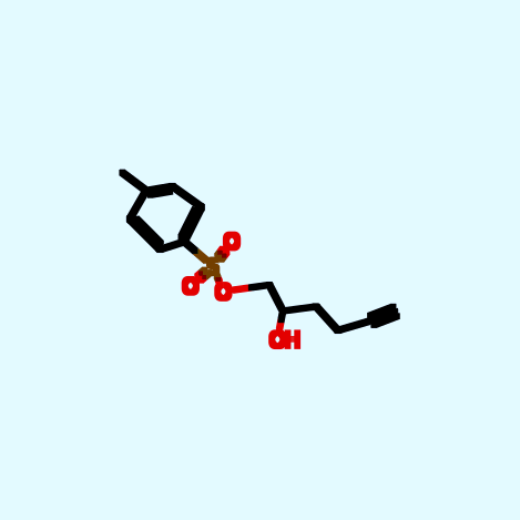 C#CCCC(O)COS(=O)(=O)c1ccc(C)cc1